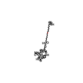 CC(=O)N(CC(=O)N[C@@H](CO)C(=O)N[C@@H](CCC(N)=O)C(=O)N[C@@H](Cc1ccc(O)cc1)C(=O)O)OCCOCCNC(=O)CCCCCCCCCCCCCCCc1nnn[nH]1